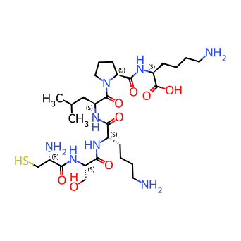 CC(C)C[C@H](NC(=O)[C@H](CCCCN)NC(=O)[C@H](CO)NC(=O)[C@@H](N)CS)C(=O)N1CCC[C@H]1C(=O)N[C@@H](CCCCN)C(=O)O